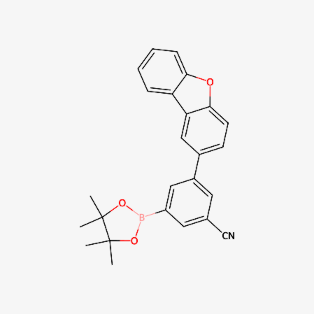 CC1(C)OB(c2cc(C#N)cc(-c3ccc4oc5ccccc5c4c3)c2)OC1(C)C